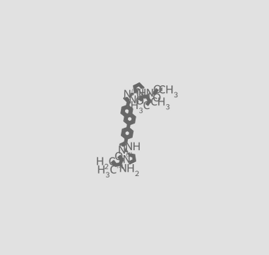 C=C(C)[C@H](N)C(=O)N1CCC[C@H]1c1ncc(-c2ccc(-c3ccc4cc(-c5cnc([C@@H]6CCCN6C(=O)[C@@H](NC(=O)OC)C(C)C)[nH]5)ccc4c3)cc2)[nH]1